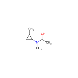 CC1CC1N(C)C(C)O